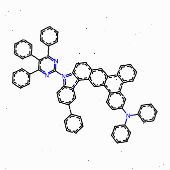 c1ccc(-c2ccc3c(c2)c2c4cc5c6ccc(N(c7ccccc7)c7ccccc7)cc6c6ccccc6c5cc4ccc2n3-c2nc(-c3ccccc3)c(-c3ccccc3)c(-c3ccccc3)n2)cc1